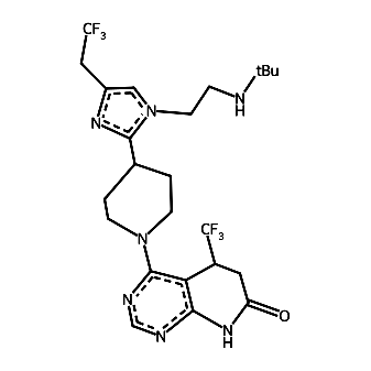 CC(C)(C)NCCn1cc(CC(F)(F)F)nc1C1CCN(c2ncnc3c2C(C(F)(F)F)CC(=O)N3)CC1